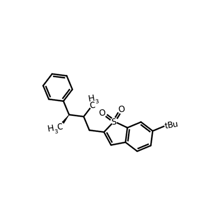 CC(CC1=Cc2ccc(C(C)(C)C)cc2S1(=O)=O)[C@@H](C)c1ccccc1